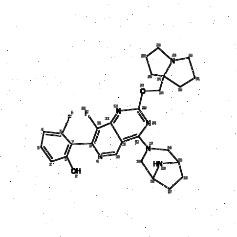 Oc1cccc(F)c1-c1ncc2c(N3CC4CCC(C3)N4)nc(OCC34CCCN3CCC4)nc2c1F